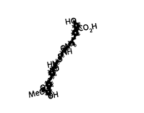 C=CC(/C=C/c1ccc(N2CC(O)CC2C(=O)O)cc1)=C\C=N\CC(=O)NCCSSCCNC(=O)C[n+]1ccc(/C=C/c2ccc(N3CC(O)CC3C(=O)OC)cc2)cc1